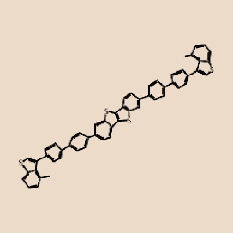 Cc1cccc2scc(-c3ccc(-c4ccc(-c5ccc6c(c5)sc5c7ccc(-c8ccc(-c9ccc(-c%10csc%11cccc(C)c%10%11)cc9)cc8)cc7sc65)cc4)cc3)c12